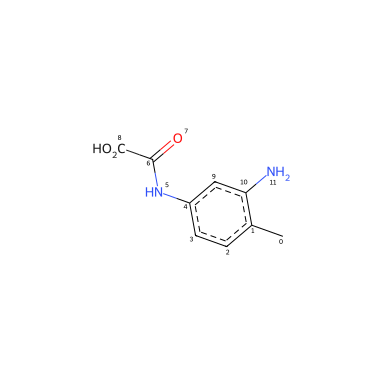 Cc1ccc(NC(=O)C(=O)O)cc1N